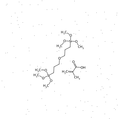 C=C(C)C(=O)O.CO[Si](CCCOCCC[Si](OC)(OC)OC)(OC)OC